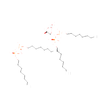 CCCCCCCCOP(=O)([O-])OP(=O)([O-])OCCCCCCCC.CCCCCCCCOP(=O)([O-])OP(=O)([O-])OCCCCCCCC.O=C1C[O][Ti+4](=[O])[O]1